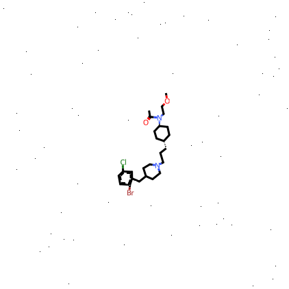 COCCN(C(C)=O)[C@H]1CC[C@H](CCCN2CCC(Cc3cc(Cl)ccc3Br)CC2)CC1